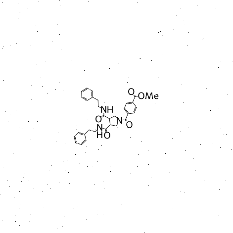 COC(=O)c1ccc(C(=O)N2CC(C(=O)NCCc3ccccc3)C(C(=O)NCCc3ccccc3)C2)cc1